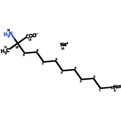 CCCCCCCCCCCCCCCCCCC(C)(N)C(=O)[O-].[Na+]